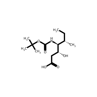 CC[C@H](C)[C@H](NC(=O)OC(C)(C)C)[C@H](O)CC(=O)O